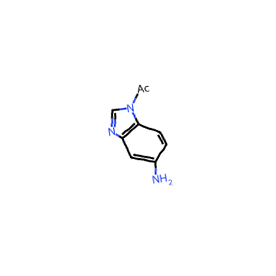 CC(=O)n1cnc2cc(N)ccc21